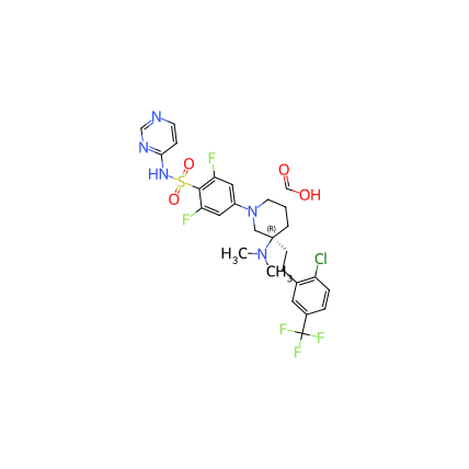 CN(C)[C@]1(CCc2cc(C(F)(F)F)ccc2Cl)CCCN(c2cc(F)c(S(=O)(=O)Nc3ccncn3)c(F)c2)C1.O=CO